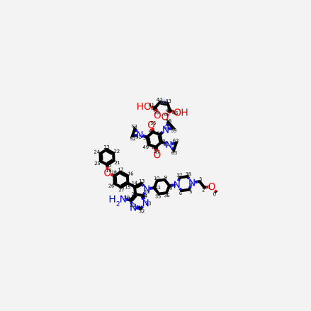 COCCN1CCN(C2CCC(n3cc(-c4ccc(Oc5ccccc5)cc4)c4c(N)ncnc43)CC2)CC1.O=C(O)/C=C\C(=O)O.O=C1C=C(N2CC2)C(=O)C(N2CC2)=C1N1CC1